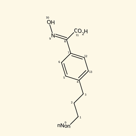 CCCCCCCCCCCCc1ccc(/C(=N/O)C(=O)O)cc1